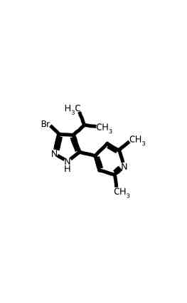 Cc1cc(-c2[nH]nc(Br)c2C(C)C)cc(C)n1